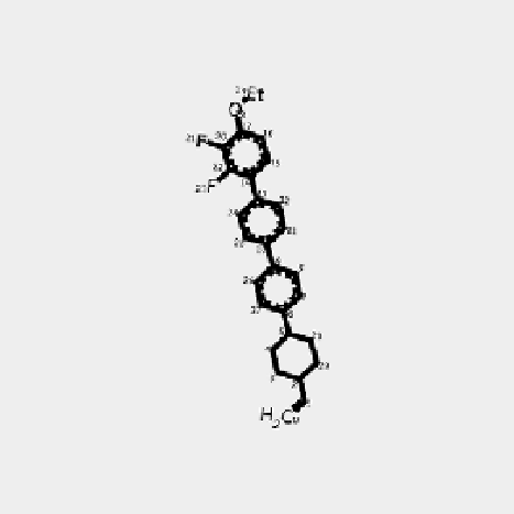 C=CC1CCC(c2ccc(-c3ccc(-c4ccc(OCC)c(F)c4F)cc3)cc2)CC1